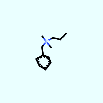 CCC[N+](C)(C)Cc1ccccc1